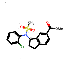 COC(=O)c1ccc2c(c1)[C@H](N(c1ccccc1Cl)S(C)(=O)=O)CC2